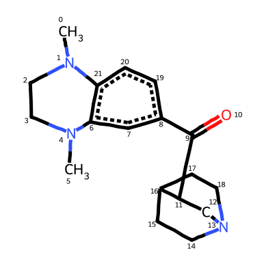 CN1CCN(C)c2cc(C(=O)C3CN4CCC3CC4)ccc21